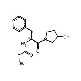 CC(C)(C)OC(=O)N[C@@H](Cc1ccccc1)C(=O)N1CCC(O)C1